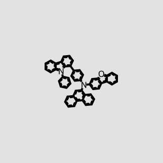 c1ccc(-n2c3ccccc3c3cccc(-c4ccc(N(c5ccc6c(c5)oc5ccccc56)c5cc6ccccc6c6ccccc56)cc4)c32)cc1